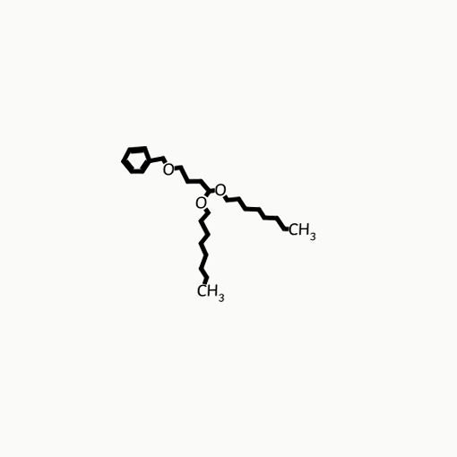 CCCCCCCCOC(CCCOCc1ccccc1)OCCCCCCCC